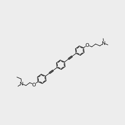 CCN(C)CCOc1ccc(C#Cc2ccc(C#Cc3ccc(OCCCN(C)C)cc3)cc2)cc1